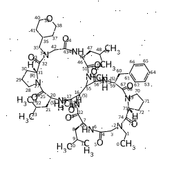 CCN1CC(=O)N[C@@H](CC(C)C)C(=O)N(C)[C@@H]2C(=O)N[C@@H](CC(C)C)C(=O)N3CCC[C@@H]3C(=O)N(CC3CCOCC3)CC(=O)N[C@@H](CC(C)C)C(=O)N(C)C2C(=O)N[C@@H](Cc2ccccc2)C(=O)N2CCC[C@@H]2C1=O